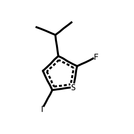 CC(C)c1cc(I)sc1F